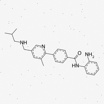 Cc1cc(CNCC(C)C)cnc1-c1ccc(C(=O)Nc2ccccc2N)cc1